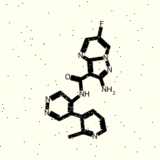 Cc1ncccc1-c1cnncc1NC(=O)c1c(N)nn2cc(F)cnc12